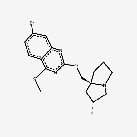 CSc1nc(OC[C@@]23CCCN2C[C@H](F)C3)nc2cc(Br)ccc12